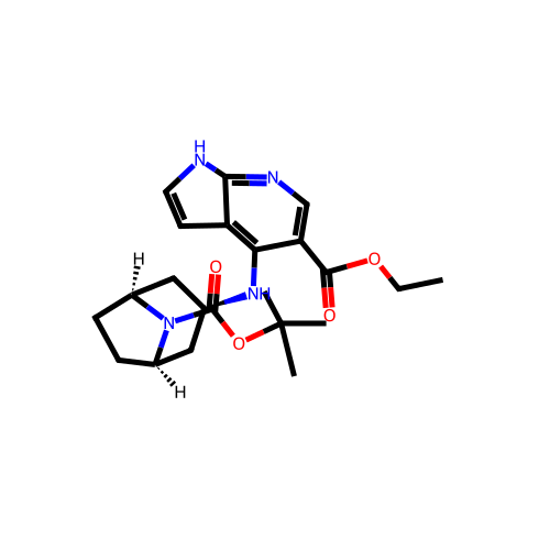 CCOC(=O)c1cnc2[nH]ccc2c1N[C@H]1C[C@H]2CC[C@@H](C1)N2C(=O)OC(C)(C)C